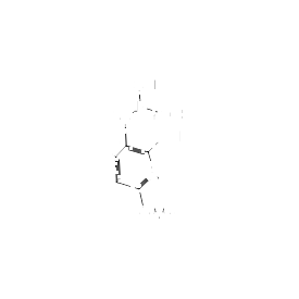 COc1ccc(OB(O)O)c(C)n1